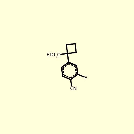 CCOC(=O)C1(c2ccc(C#N)c(F)c2)CCC1